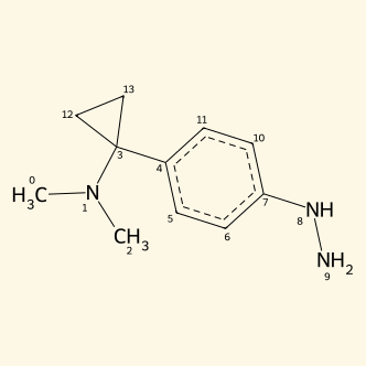 CN(C)C1(c2ccc(NN)cc2)CC1